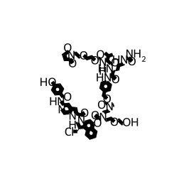 CC(C)[C@H](NC(=O)OCCOCCN1C(=O)C=CC1=O)C(=O)N[C@@H](CCCNC(N)=O)C(=O)Nc1ccc(COC(=O)N(C)CCN(CCOCCO)C(=O)Oc2cc3c(c4ccccc24)[C@H](CCl)CN3C(=O)c2cc3cc(NC(=O)c4ccc(O)cc4)ncc3[nH]2)cc1